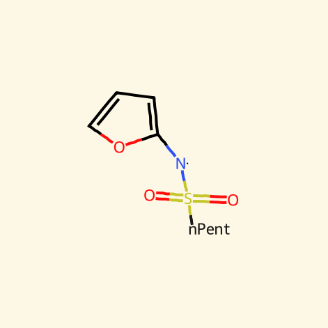 CCCCCS(=O)(=O)[N]c1ccco1